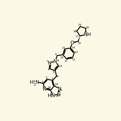 Nc1cc(Cc2cnn(Cc3cccc(OC[C@H]4CCCN4)c3)c2)c2nn[nH]c2n1